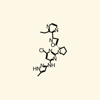 CCc1nccnc1-c1cc([C@@H]2CCCN2c2nc(Cl)cc(Nc3cc(C)[nH]n3)n2)on1